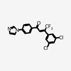 O=C(C=C(c1cc(Cl)cc(Cl)c1)C(F)(F)F)c1ccc(-n2ccnc2)cc1